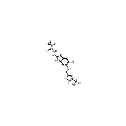 [2H]C([2H])([2H])c1cc(COc2cc3[nH]c(CNC(=O)C4(C)CC4)cc3cc2Cl)no1